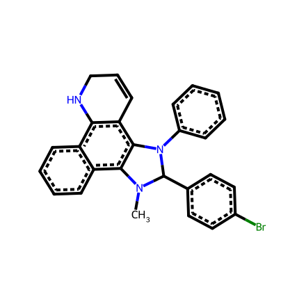 CN1c2c(c3c(c4ccccc24)NCC=C3)N(c2ccccc2)C1c1ccc(Br)cc1